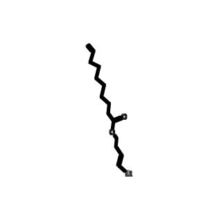 C=CCCCCCCCC(=O)OCCC=CCC